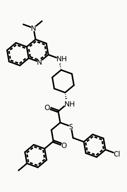 Cc1ccc(C(=O)CC(SCc2ccc(Cl)cc2)C(=O)N[C@H]2CC[C@@H](Nc3cc(N(C)C)c4ccccc4n3)CC2)cc1